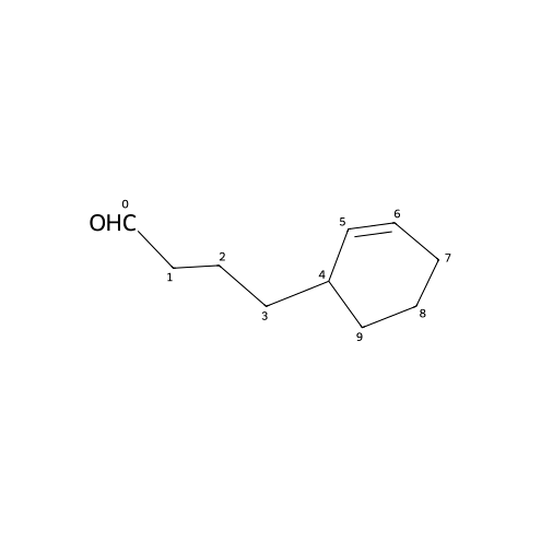 O=CCCCC1C=CCCC1